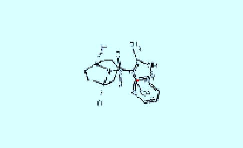 Cc1n[nH]c(C)c1S(=O)(=O)N1[C@@H]2CC[C@H]1CC(Oc1ccccn1)C2